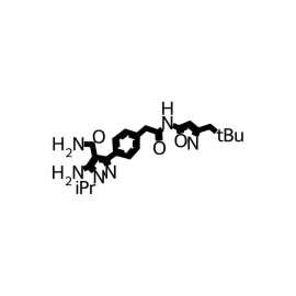 CC(C)n1nc(-c2ccc(CC(=O)Nc3cc(CC(C)(C)C)no3)cc2)c(C(N)=O)c1N